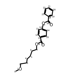 COCCCCCCOC(=O)c1ccc(OC(=O)c2ccccc2)cc1